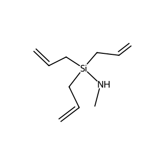 C=CC[Si](CC=C)(CC=C)NC